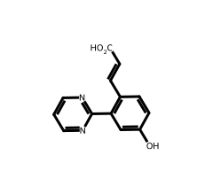 O=C(O)/C=C/c1ccc(O)cc1-c1ncccn1